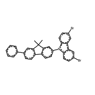 CC1(C)c2cc(-c3ccccc3)ccc2-c2ccc(-n3c4ccc(Br)cc4c4cc(Br)ccc43)cc21